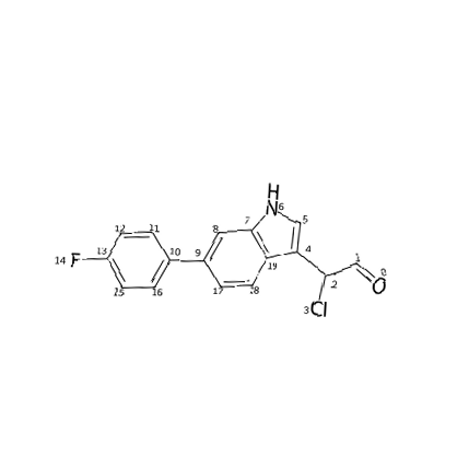 O=CC(Cl)c1c[nH]c2cc(-c3ccc(F)cc3)ccc12